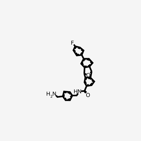 NCc1ccc(CNC(=O)c2ccc3c(c2)C2OC3c3ccc(-c4ccc(F)cc4)cc32)cc1